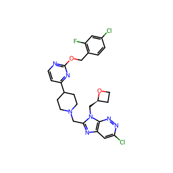 Fc1cc(Cl)ccc1COc1nccc(C2CCN(Cc3nc4cc(Cl)nnc4n3C[C@@H]3CCO3)CC2)n1